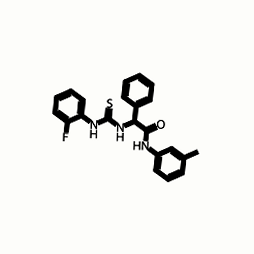 Cc1cccc(NC(=O)C(NC(=S)Nc2ccccc2F)c2ccccc2)c1